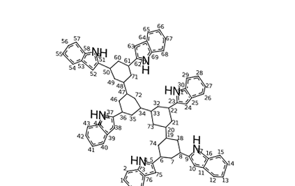 c1ccc2[nH]c(C3CC(c4cc5ccccc5[nH]4)CC(C4CC(c5cc6ccccc6[nH]5)CC(C5CC(c6cc7ccccc7[nH]6)CC(C6CC(c7cc8ccccc8[nH]7)CC(c7cc8ccccc8[nH]7)C6)C5)C4)C3)cc2c1